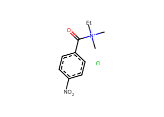 CC[N+](C)(C)C(=O)c1ccc([N+](=O)[O-])cc1.[Cl-]